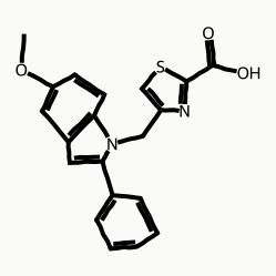 COc1ccc2c(c1)cc(-c1ccccc1)n2Cc1csc(C(=O)O)n1